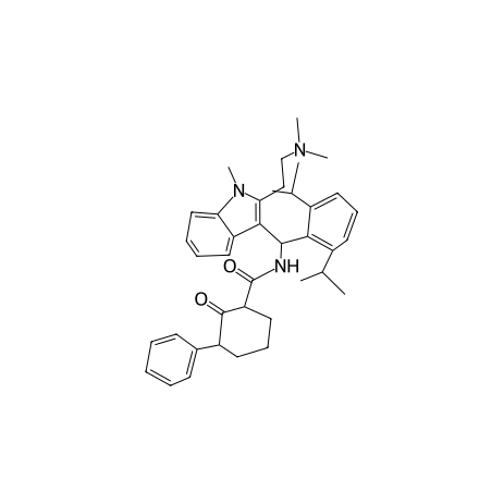 CC(C)c1cccc(C(C)C)c1C(NC(=O)C1CCCC(c2ccccc2)C1=O)c1c(CCN(C)C)n(C)c2ccccc12